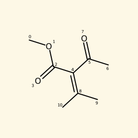 COC(=O)C(C(C)=O)=C(C)C